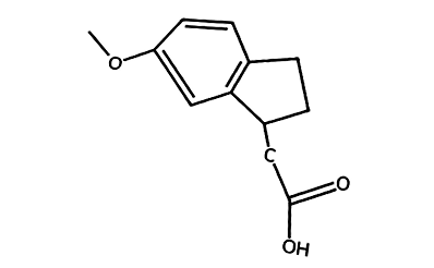 COc1ccc2c(c1)C(CC(=O)O)CC2